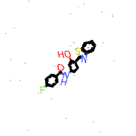 O=C(Nc1ccc(-c2nc3ccccc3s2)c(O)c1)c1ccc(F)cc1